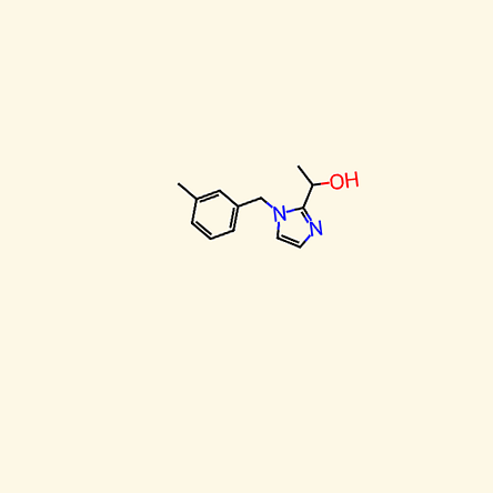 Cc1cccc(Cn2ccnc2C(C)O)c1